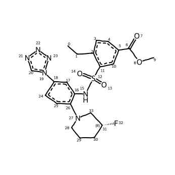 CCc1ccc(C(=O)OC)cc1S(=O)(=O)Nc1cc(-n2cnnn2)ccc1N1CCC[C@@H](F)C1